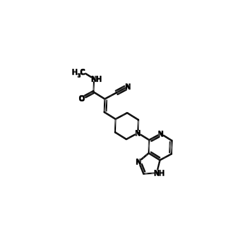 CNC(=O)/C(C#N)=C/C1CCN(c2nccc3[nH]cnc23)CC1